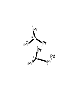 CC(C)P(C(C)C)C(C)C.CC(C)P(C(C)C)C(C)C.[Pd]